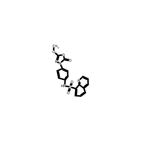 COc1nn(-c2ccc(NS(=O)(=O)c3cccc4cccnc34)cc2)c(=O)o1